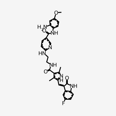 COc1ccc(NC(=O)c2ccc(NCCNC(=O)c3c(C)[nH]c(/C=C4\C(=O)Nc5ccc(F)cc54)c3C)nc2)c(N)c1